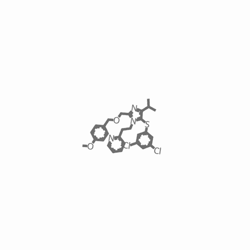 COc1ccc(COCc2nc(C(C)C)c(Sc3cc(Cl)cc(Cl)c3)n2CCc2ccccn2)cc1